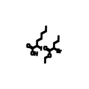 CCCC(Br)C(=O)OCC.CCCCCC(I)C(=O)O